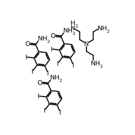 NC(=O)c1ccc(I)c(I)c1I.NC(=O)c1ccc(I)c(I)c1I.NC(=O)c1ccc(I)c(I)c1I.NCCN(CCN)CCN